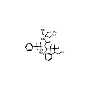 CCC(C)(C(C(=O)NC(CO)(CO)COC)C(C(=O)O)C(C)(CC)C(C)(I)C(CC(C)C)c1ccccc1)C(C)(C)c1ccccc1